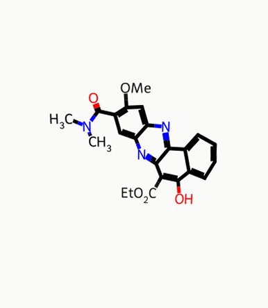 CCOC(=O)c1c(O)c2ccccc2c2nc3cc(OC)c(C(=O)N(C)C)cc3nc12